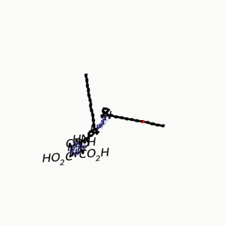 C#CC#CC#CC#CC#CC#CC#CC#CC#CC#CC#CN1/C(=C/C=C/C=C/C2=[N+](C#CC#CC#CC#CC#CC#CC#CC#CC#CC#CC#C)c3ccc(CNC(=O)CN4/C=C\N(CC(=O)O)/C=C\N(CC(=O)O)/C=C\N(CC(=O)O)/C=C\4)cc3C2(C)C)C(C)(C)c2ccccc21